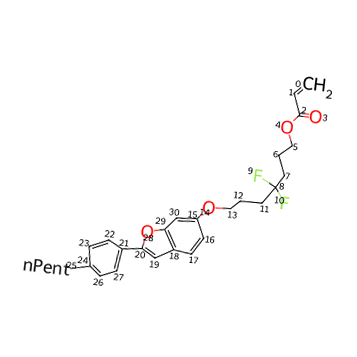 C=CC(=O)OCCCC(F)(F)CCCOc1ccc2cc(-c3ccc(CCCCC)cc3)oc2c1